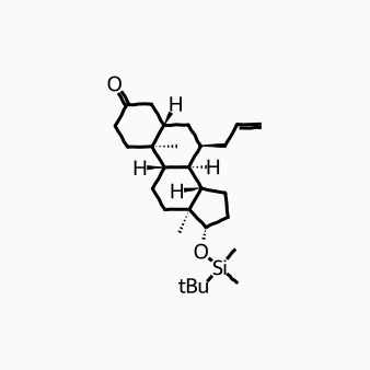 C=CC[C@@H]1C[C@H]2CC(=O)CC[C@]2(C)[C@H]2CC[C@]3(C)[C@@H](O[Si](C)(C)C(C)(C)C)CC[C@H]3[C@H]12